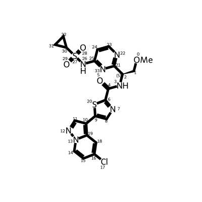 COC[C@@H](NC(=O)c1ncc(-c2cnn3ccc(Cl)cc23)s1)c1nccc(NS(=O)(=O)C2CC2)n1